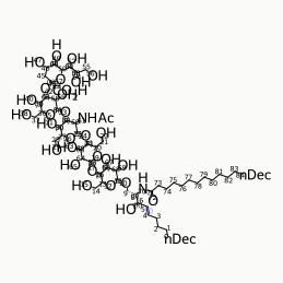 CCCCCCCCCCCCC/C=C/[C@@H](O)[C@H](CO[C@@H]1OC(CO)[C@@H](O[C@@H]2OC(CO)[C@H](O[C@@H]3OC(CO)[C@H](O)[C@H](O[C@@H]4OC(CO)[C@H](O)[C@H](O[C@]5(C(=O)O)CC(O)[C@@H](O)C([C@H](O)[C@H](O)CO)O5)C4O)C3NC(C)=O)[C@H](O)C2O)[C@H](O)C1O)NC(=O)CCCCCCCCCCCCCCCCCCCCC